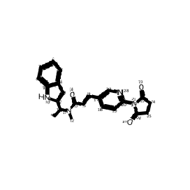 CC(c1cc2ccccc2[nH]1)N(C)C(=O)/C=C/c1ccc(N2C(=O)CCC2=O)nc1